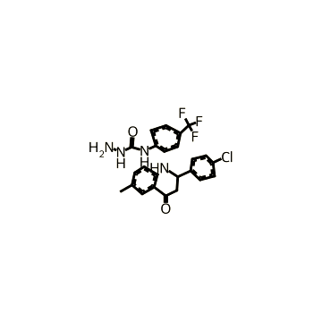 Cc1ccc2c(c1)C(=O)CC(c1ccc(Cl)cc1)N2.NNC(=O)Nc1ccc(C(F)(F)F)cc1